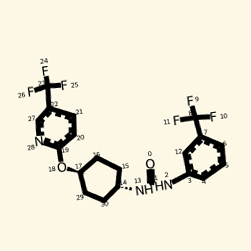 O=C(Nc1cccc(C(F)(F)F)c1)N[C@H]1CC[C@H](Oc2ccc(C(F)(F)F)cn2)CC1